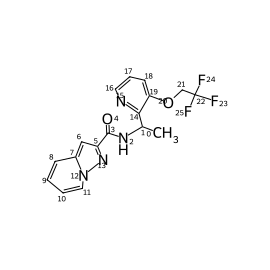 CC(NC(=O)c1cc2ccccn2n1)c1ncccc1OCC(F)(F)F